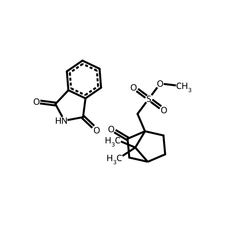 COS(=O)(=O)CC12CCC(CC1=O)C2(C)C.O=C1NC(=O)c2ccccc21